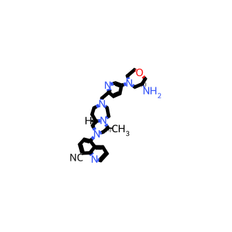 C[C@@H]1CN(c2ccc(C#N)c3ncccc23)C[C@@H]2CCN(Cc3ccc(N4CCOC[C@H](N)C4)cn3)CCN21